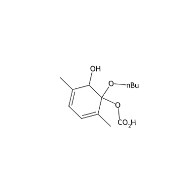 CCCCOC1(OC(=O)O)C(C)=CC=C(C)C1O